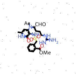 COC(=O)c1ccccc1CS(=O)(=O)Nc1c(N(C(C)=O)[C@H](C=O)CCCNC(=N)N)cc(C)[nH]c1=O